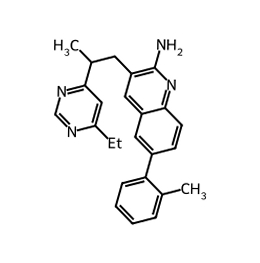 CCc1cc(C(C)Cc2cc3cc(-c4ccccc4C)ccc3nc2N)ncn1